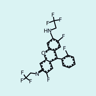 Fc1cc2c(-c3ccccc3F)c3cc(F)c(=NCC(F)(F)F)cc-3oc2cc1NCC(F)(F)F